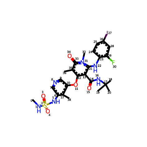 CNS(=O)(=O)Nc1cncc(Oc2c(C(=O)NC(C)(C)C)c(Nc3ccc(I)cc3F)n(C)c(=O)c2C)c1C